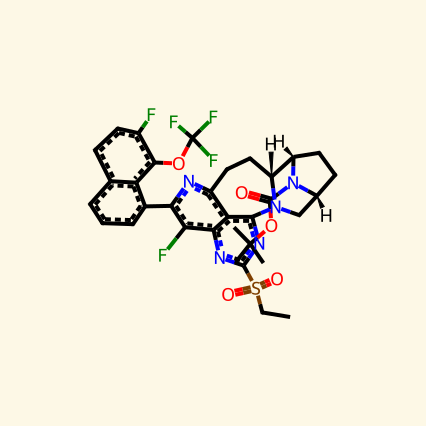 CCS(=O)(=O)c1nc2c3c(nc(-c4cccc5ccc(F)c(OC(F)(F)F)c45)c(F)c3n1)CC[C@@H]1[C@@H]3CC[C@H](CN21)N3C(=O)OC(C)(C)C